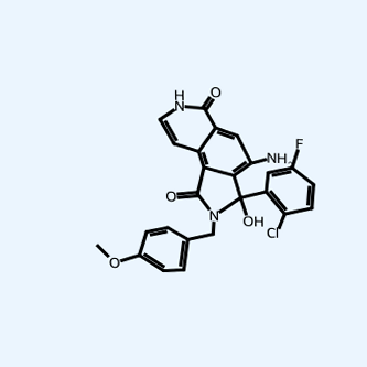 COc1ccc(CN2C(=O)c3c(c(N)cc4c(=O)[nH]ccc34)C2(O)c2cc(F)ccc2Cl)cc1